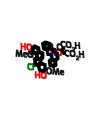 COc1c(O)ccc2ccc3c4c(c(Cl)cc3c12)CC(O)C(OC)C4.O=C(O)CC(O)(CC(=O)O)C(=O)O.c1ccc2c(c1)CC1c3ccccc3CCN1C2